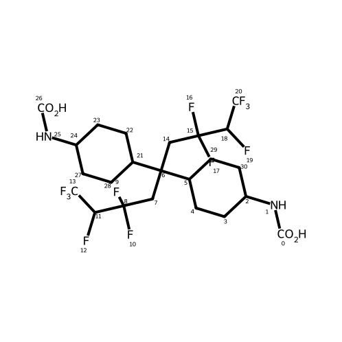 O=C(O)NC1CCC(C(CC(F)(F)C(F)C(F)(F)F)(CC(F)(F)C(F)C(F)(F)F)C2CCC(NC(=O)O)CC2)CC1